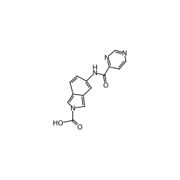 O=C(Nc1ccc2cn(C(=O)O)cc2c1)c1ccncn1